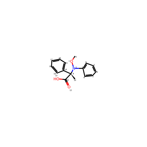 CON(c1ccccc1)[C@](C)(C(=O)O)c1ccccc1